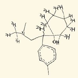 [2H]C([2H])([2H])N(C)CC([2H])(c1ccc(C)cc1)C1(O)C([2H])([2H])C([2H])([2H])C([2H])([2H])C([2H])([2H])C1([2H])[2H]